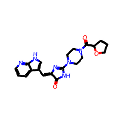 O=C1NC(N2CCN(C(=O)C3CCCO3)CC2)=NC1=Cc1c[nH]c2ncccc12